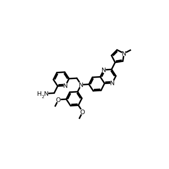 COc1cc(OC)cc(N(Cc2cccc(CN)n2)c2ccc3ncc(-c4ccn(C)c4)nc3c2)c1